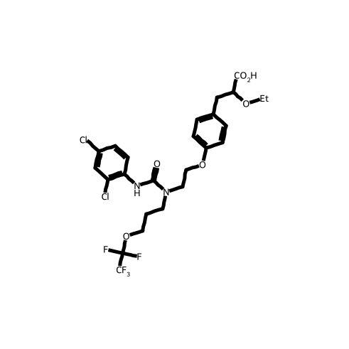 CCOC(Cc1ccc(OCCN(CCCOC(F)(F)C(F)(F)F)C(=O)Nc2ccc(Cl)cc2Cl)cc1)C(=O)O